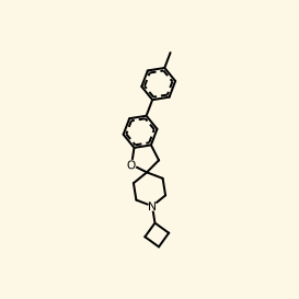 Cc1ccc(-c2ccc3c(c2)CC2(CCN(C4CCC4)CC2)O3)cc1